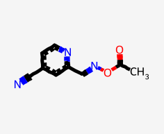 CC(=O)O/N=C/c1cc(C#N)ccn1